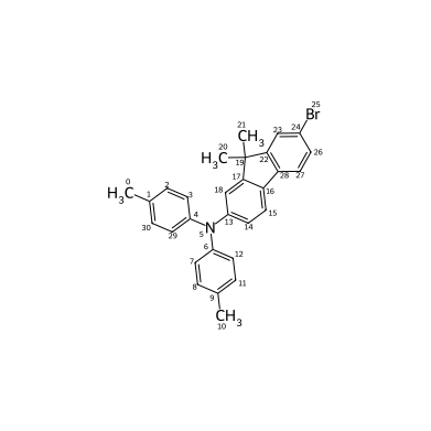 Cc1ccc(N(c2ccc(C)cc2)c2ccc3c(c2)C(C)(C)c2cc(Br)ccc2-3)cc1